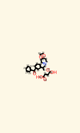 CC(CN1CCC2(CC1)OCCO2)c1cccc(C(=O)c2ccccc2)c1.O=C(O)/C=C/C(=O)O